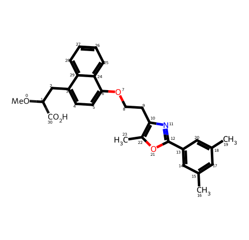 COC(Cc1ccc(OCCc2nc(-c3cc(C)cc(C)c3)oc2C)c2ccccc12)C(=O)O